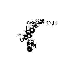 CCCC[C@H](OC(=O)CC(C)(C)C(=O)O)C(C)(C)[C@@H]1CC[C@]2(C)[C@H](CC[C@@H]3C4=C(C(C)C)C(=O)C[C@]4(CCN(Cc4ccccn4)C(=O)CN(C)C)CC[C@]32C)C1